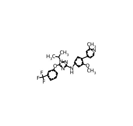 COc1cc(Nc2nc(Oc3cccc(C(F)(F)F)c3)n(C(C)C)n2)ccc1-c1ccnc(C)c1